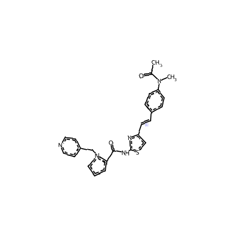 CC(=O)N(C)c1ccc(/C=C/c2csc(NC(=O)c3cccn3Cc3ccncc3)n2)cc1